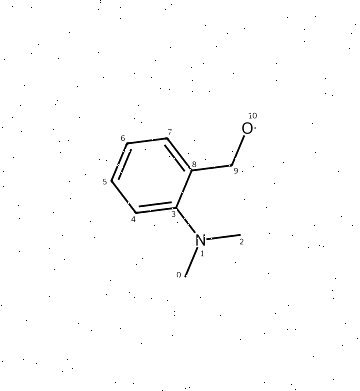 CN(C)c1ccccc1C[O]